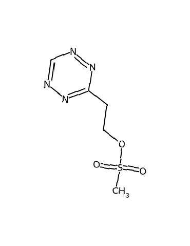 CS(=O)(=O)OCCc1nncnn1